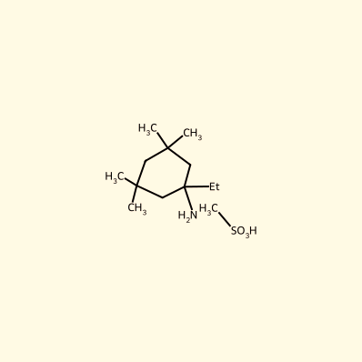 CCC1(N)CC(C)(C)CC(C)(C)C1.CS(=O)(=O)O